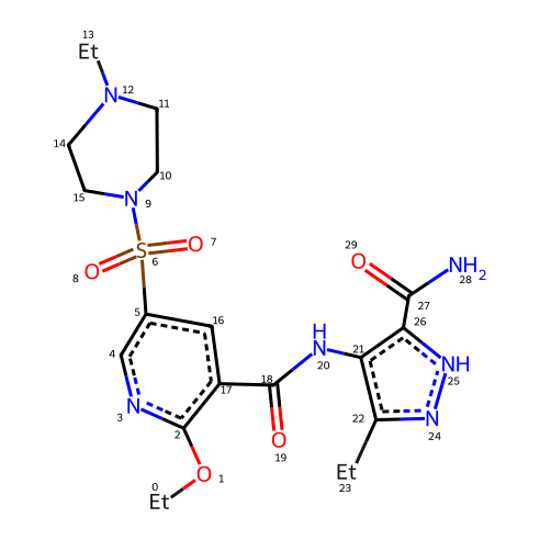 CCOc1ncc(S(=O)(=O)N2CCN(CC)CC2)cc1C(=O)Nc1c(CC)n[nH]c1C(N)=O